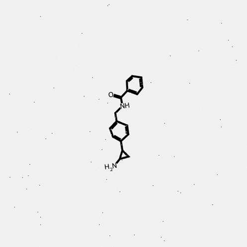 NC1CC1c1ccc(CNC(=O)c2ccccc2)cc1